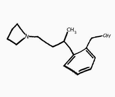 CC(CCN1CCC1)c1ccccc1CO